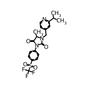 CC(C)c1cc(CN2C(=O)N(c3ccc(S(=O)(=O)C(F)(F)F)cc3)C(=O)C2C)ccn1